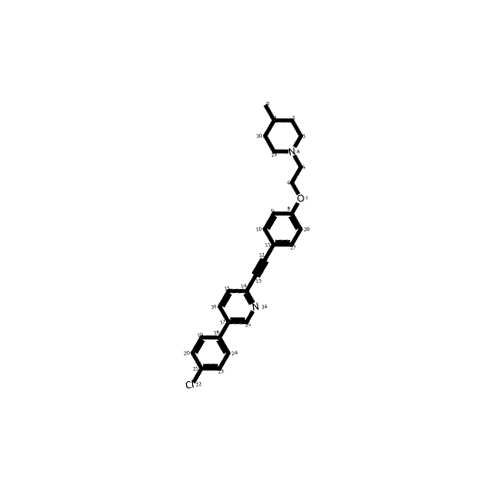 CC1CCN(CCOc2ccc(C#Cc3ccc(-c4ccc(Cl)cc4)cn3)cc2)CC1